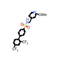 COc1cc(CNS(=O)(=O)c2ccc(-c3ccc(C(F)(F)F)cc3C(F)(F)F)cc2)ccn1